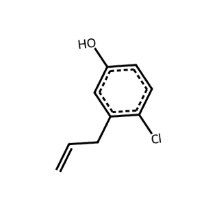 C=CCc1cc(O)ccc1Cl